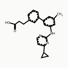 Cc1cc(Nc2nccc(C3CC3)n2)cc(-c2cccc(CCC(=O)O)c2)c1